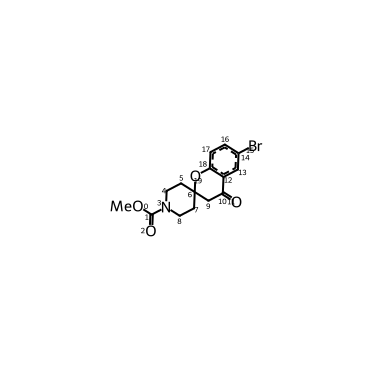 COC(=O)N1CCC2(CC1)CC(=O)c1cc(Br)ccc1O2